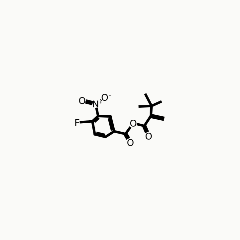 C=C(C(=O)OC(=O)c1ccc(F)c([N+](=O)[O-])c1)C(C)(C)C